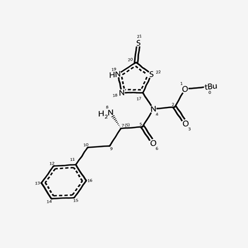 CC(C)(C)OC(=O)N(C(=O)[C@@H](N)CCc1ccccc1)c1n[nH]c(=S)s1